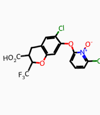 O=C(O)C1Cc2cc(Cl)c(Oc3cccc(Cl)[n+]3[O-])cc2OC1C(F)(F)F